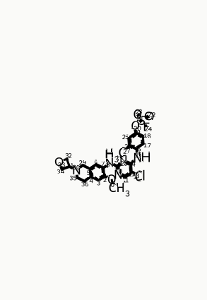 COc1cc2c(cc1Nc1ncc(Cl)c(Nc3ccc(OS(=O)(=O)F)cc3C)n1)CN(C1COC1)CC2